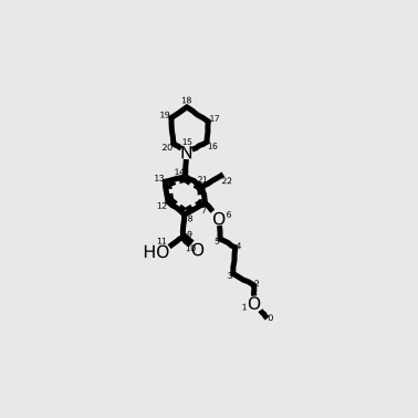 COCCCCOc1c(C(=O)O)ccc(N2CCCCC2)c1C